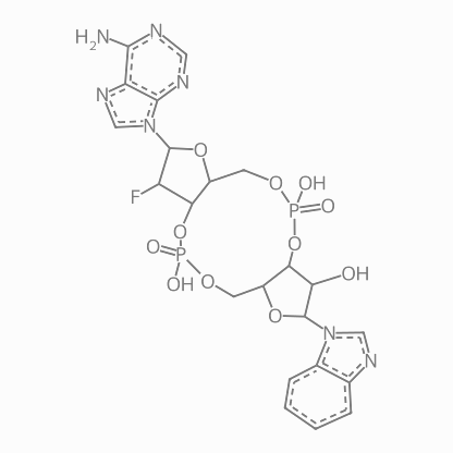 Nc1ncnc2c1ncn2C1OC2COP(=O)(O)OC3C(COP(=O)(O)OC2C1F)OC(n1cnc2ccccc21)C3O